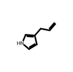 C=CCc1[c][nH]cc1